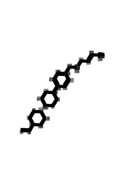 C=C[C@H]1CC[C@H](C2CCC(c3ccc(COCC=CCC)cc3)CC2)CC1